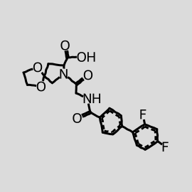 O=C(NCC(=O)N1CC2(CC1C(=O)O)OCCO2)c1ccc(-c2ccc(F)cc2F)cc1